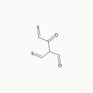 O=[C]C(C=S)C(=O)C=S